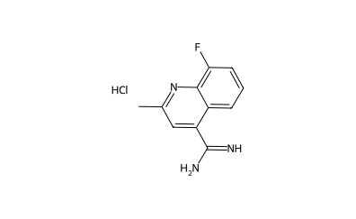 Cc1cc(C(=N)N)c2cccc(F)c2n1.Cl